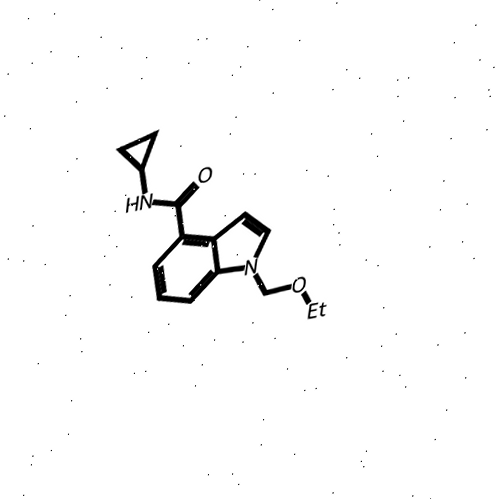 CCOCn1ccc2c(C(=O)NC3CC3)cccc21